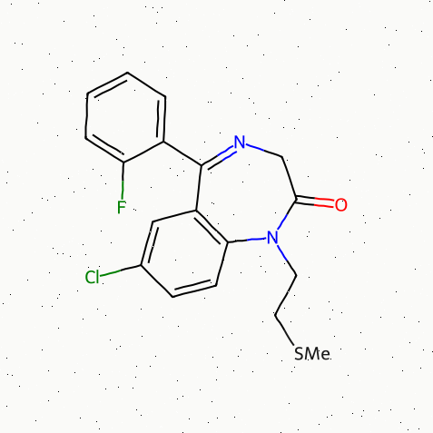 CSCCN1C(=O)CN=C(c2ccccc2F)c2cc(Cl)ccc21